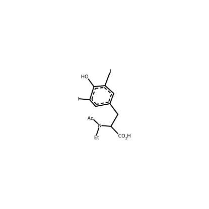 CCN(C(C)=O)C(Cc1cc(I)c(O)c(I)c1)C(=O)O